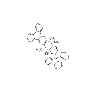 CC1(C)c2cc3c4ccccc4c4ccccc4c3cc2C(C)(C)C2C=C([Si](c3ccccc3)(c3ccccc3)c3ccccc3)C=CC21